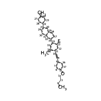 CCCCOc1ccc(C#Cc2cc(F)c(-c3ccc4cc(-c5ccc(C)cc5)ccc4c3)cc2C)cc1